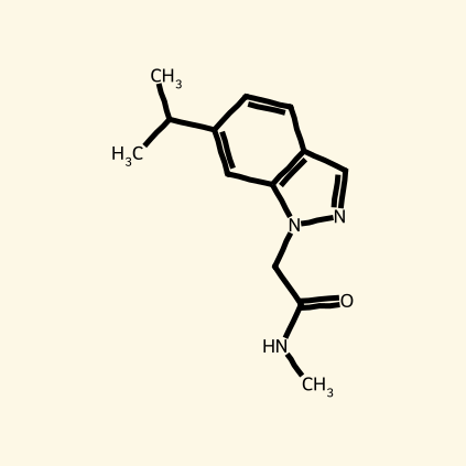 CNC(=O)Cn1ncc2ccc(C(C)C)cc21